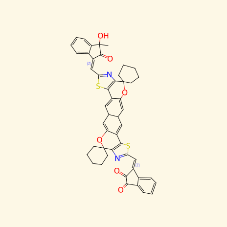 CC1(O)C(=O)/C(=C\c2nc3c(s2)C2=CC4C=C5OC6(CCCCC6)c6nc(/C=C7\C(=O)C(=O)c8ccccc87)sc6C5=CC4C=C2OC32CCCCC2)c2ccccc21